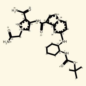 CC(C)(C)OC(=O)N[C@H]1CCCC[C@H]1Nc1ccn2ncc(C(=O)Nc3cn(CC(N)=O)nc3C(N)=O)c2n1